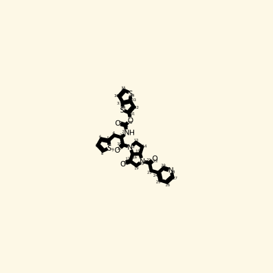 O=C(NC(Cc1cccs1)C(=O)N1CCC2C1C(=O)CN2C(=O)Cc1cccnc1)Oc1cc2sccc2s1